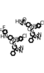 O=C([C@@H](Cc1ccc(Cl)cc1)N[C@H]1CC[C@@H](Nc2ccc(F)c(F)c2)CC1)N1CCC(Cn2cncn2)(C2CCCCC2)CC1.O=C([C@@H](Cc1ccc(Cl)cc1)N[C@H]1CC[C@H](N2CCNC2=O)CC1)N1CCC(Cn2cncn2)(C2CCCCC2)CC1